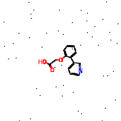 O=C(O)COc1ccccc1-c1cccnc1